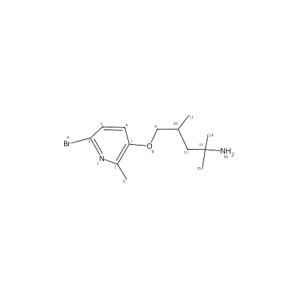 Cc1nc(Br)ccc1OCC(C)CC(C)(C)N